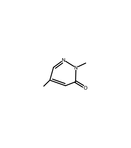 Cc1cnn(C)c(=O)c1